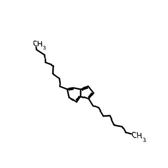 CCCCCCCCC1=CC2=CC=C(CCCCCCCC)C2=CC1